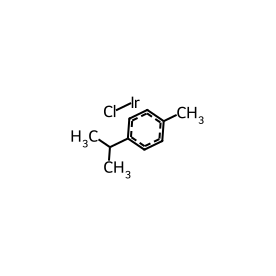 Cc1ccc(C(C)C)cc1.[Cl][Ir]